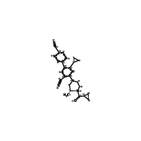 C[C@@H]1CN(c2nc(C3CC3)c(-c3ccc(C#N)nc3)cc2C#N)CCN1C(=O)C1CC1